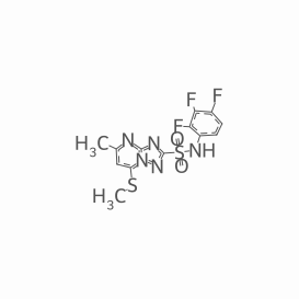 CSc1cc(C)nc2nc(S(=O)(=O)Nc3ccc(F)c(F)c3F)nn12